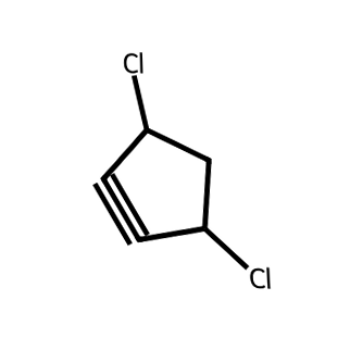 ClC1C#CC(Cl)C1